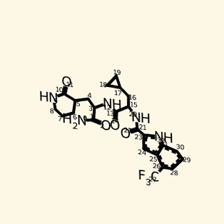 NC(=O)C(CC1CCCNC1=O)NC(=O)C(CC1CC1)NC(=O)c1cc2c(C(F)(F)F)cccc2[nH]1